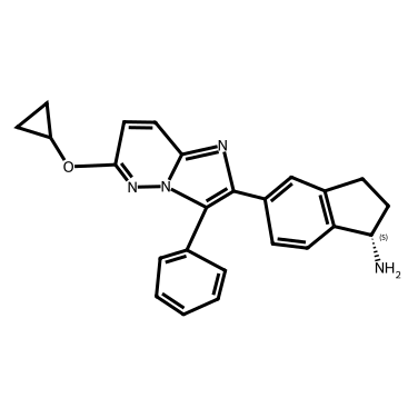 N[C@H]1CCc2cc(-c3nc4ccc(OC5CC5)nn4c3-c3ccccc3)ccc21